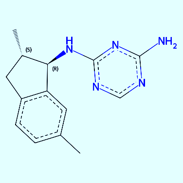 Cc1ccc2c(c1)[C@H](Nc1ncnc(N)n1)[C@@H](C)C2